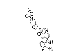 CC(C)(C)OC(=O)N1CCC2(CC1)C[C@@H](n1cnc3ccc(Nc4c(F)ccc(F)c4C#N)cc3c1=O)CO2